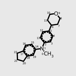 CN(c1ccc(C2CCOCC2)cc1)c1ccc2c(c1)CCC2